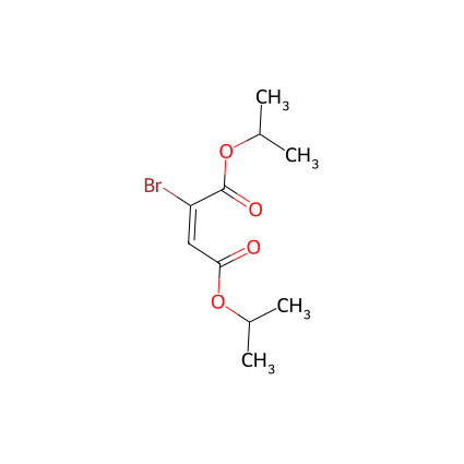 CC(C)OC(=O)/C=C(/Br)C(=O)OC(C)C